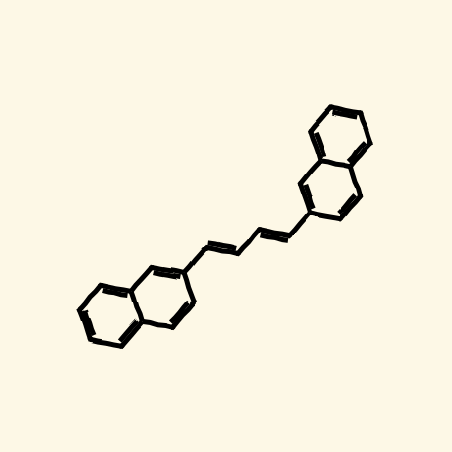 C(C=Cc1ccc2ccccc2c1)=Cc1ccc2ccccc2c1